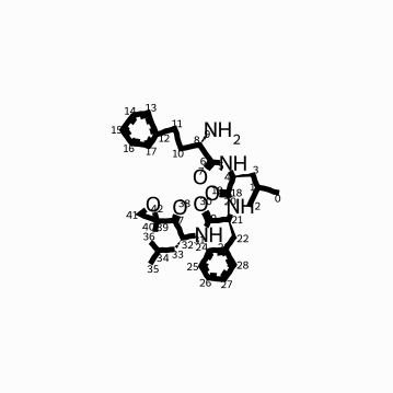 CC(C)C[C@H](NC(=O)[C@@H](N)CCc1ccccc1)C(=O)N[C@@H](Cc1ccccc1)C(=O)N[C@H](CC(C)C)C(=O)C1(C)CO1